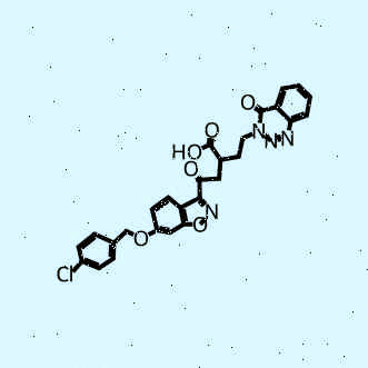 O=C(CC(CCn1nnc2ccccc2c1=O)C(=O)O)c1noc2cc(OCc3ccc(Cl)cc3)ccc12